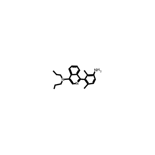 CCCN(CCC)c1cnc(-c2c(C)ccc(N)c2C)c2ccccc12